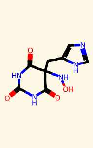 O=C1NC(=O)C(Cc2cnc[nH]2)(NO)C(=O)N1